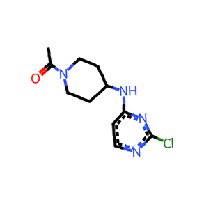 CC(=O)N1CCC(Nc2ccnc(Cl)n2)CC1